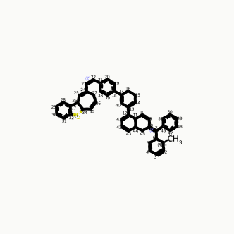 C[C@H]1C#CC=CC1/C(=C1/C=CC2C(C3=CCCC(c4ccc(/C=C\C5=CC6c7ccccc7SC6C=CC5)cc4)=C3)=CC=CC2C1)c1ccccc1